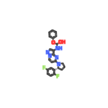 OC(Nc1cnn2ccc(N3CCC[C@@H]3c3cc(F)ccc3F)nc12)Oc1ccccc1